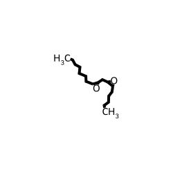 CCCCCCCC1OC1CC1OC1CCCCC